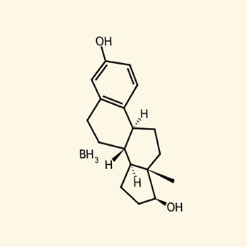 B.C[C@]12CC[C@@H]3c4ccc(O)cc4CC[C@H]3[C@@H]1CC[C@@H]2O